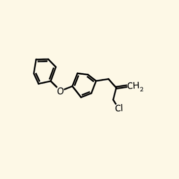 C=C(CCl)Cc1ccc(Oc2ccccc2)cc1